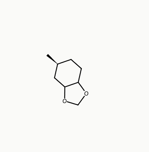 C[C@H]1CCC2OCOC2C1